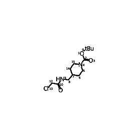 CC(C)(C)OC(=O)N1CCC(CNC(=O)CCl)CC1